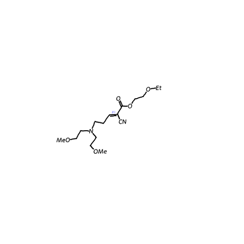 CCOCCOC(=O)/C(C#N)=C/CCN(CCOC)CCOC